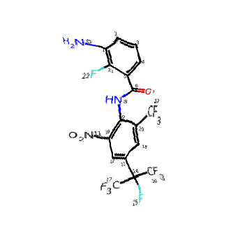 Nc1cccc(C(=O)Nc2c([N+](=O)[O-])cc(C(F)(C(F)(F)F)C(F)(F)F)cc2C(F)(F)F)c1F